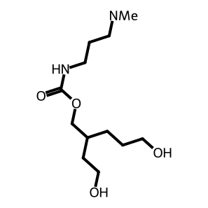 CNCCCNC(=O)OCC(CCO)CCCO